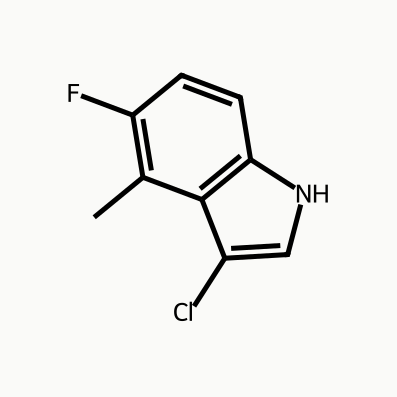 Cc1c(F)ccc2[nH]cc(Cl)c12